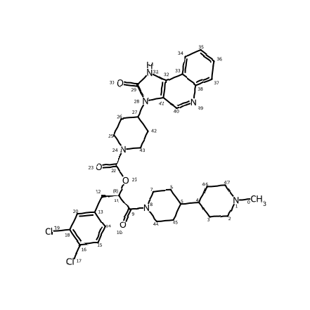 CN1CCC(C2CCN(C(=O)[C@@H](Cc3ccc(Cl)c(Cl)c3)OC(=O)N3CCC(n4c(=O)[nH]c5c6ccccc6ncc54)CC3)CC2)CC1